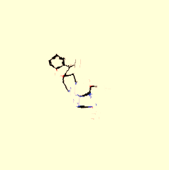 [2H]C1c2ccccc2OC12CCN(c1ncc(Br)nc1C(C)=O)CC2